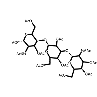 CC(=O)NC1C(OC(C)=O)[C@@H](OC(C)=O)C(COC(C)=O)O[C@@H]1OC1C(OC(C)=O)[C@H](O[C@@H]2C(COC(C)=O)O[C@@H](O)C(NC(C)=O)C2OC(C)=O)OC(COC(C)=O)[C@@H]1OC(C)=O